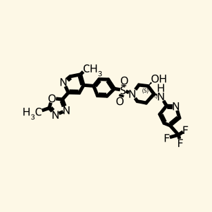 Cc1nnc(-c2cc(-c3ccc(S(=O)(=O)N4CC[C@@H](Nc5ccc(C(F)(F)F)cn5)[C@@H](O)C4)cc3)c(C)cn2)o1